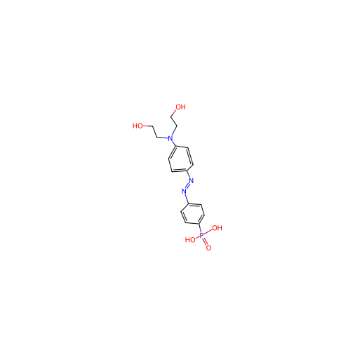 O=P(O)(O)c1ccc(/N=N/c2ccc(N(CCO)CCO)cc2)cc1